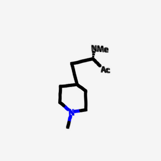 CN[C@@H](CC1CCN(C)CC1)C(C)=O